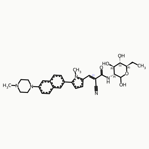 CC[C@H]1OC(O)[C@H](NC(=O)/C(C#N)=C/c2ccc(-c3ccc4cc(N5CCN(C)CC5)ccc4c3)n2C)[C@@H](O)[C@@H]1O